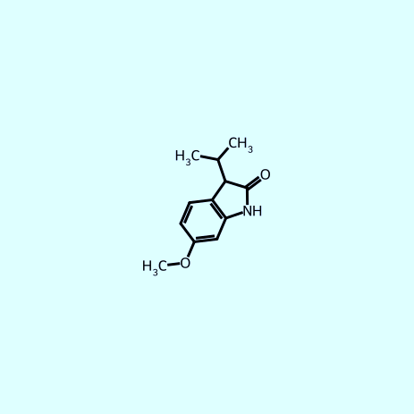 COc1ccc2c(c1)NC(=O)C2C(C)C